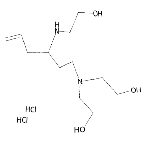 C=CCC(CCN(CCO)CCO)NCCO.Cl.Cl